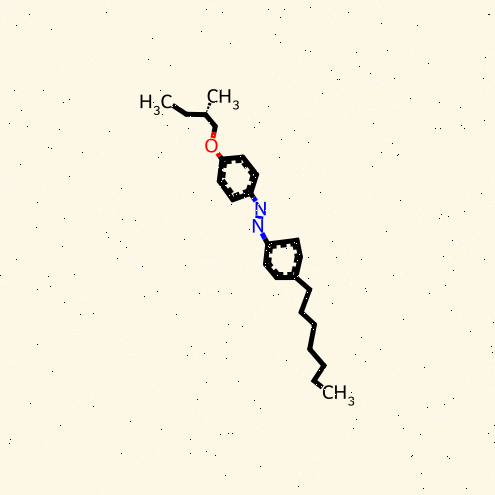 CCCCCCCc1ccc(/N=N/c2ccc(OC[C@@H](C)CC)cc2)cc1